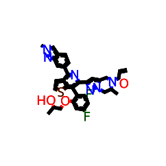 C=CC(=O)N1Cc2cc(-c3nc(-c4ccc5cn(C)nc5c4)c4ccsc4c3-c3c(F)cc(F)cc3OCC(C)O)nn2CC1C